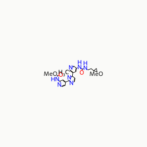 COC(=O)Nc1cc(-c2nccc(-c3cc(NC(=O)NCCC4(OC)CC4)cnc3C)n2)ccn1